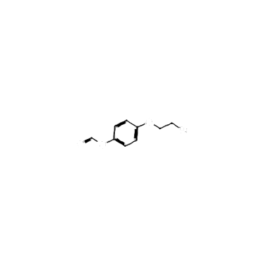 O=COc1ccc(OCCBr)cc1